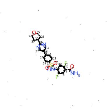 NC(=O)c1cc(F)c(NS(=O)(=O)c2ccc(-c3cnc(C4CCOCC4)nc3)cc2)cc1F